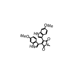 COc1ccc2c(C3=C(c4c[nH]c5cc(OC)ccc45)C(=O)N(C)C3=O)c[nH]c2c1